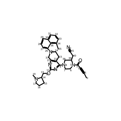 CC#CC(=O)N1CCN(c2nc(OCC3CCCN3C)nc3c2CCN(c2cccc4cccc(C)c24)C3)CC1CC#N